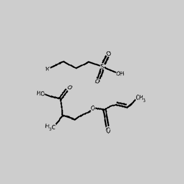 CC=CC(=O)OCC(C)C(=O)O.O=S(=O)(O)CC[CH2][K]